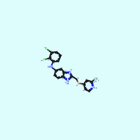 Fc1cccc(Nc2ccc3[nH]c(CSc4ccnc(C(F)(F)F)c4)nc3c2)c1F